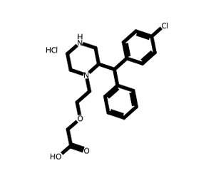 Cl.O=C(O)COCCN1CCNCC1C(c1ccccc1)c1ccc(Cl)cc1